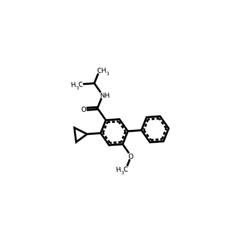 COc1cc(C2CC2)c(C(=O)NC(C)C)cc1-c1ccccc1